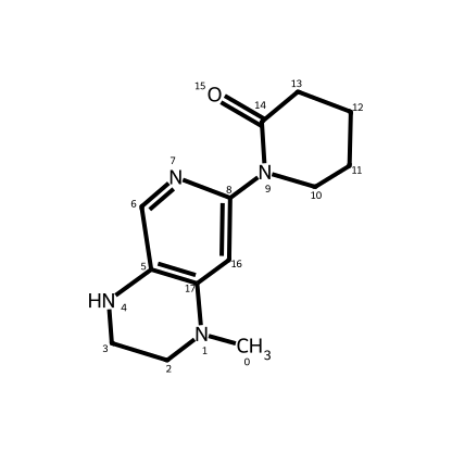 CN1CCNc2cnc(N3CCCCC3=O)cc21